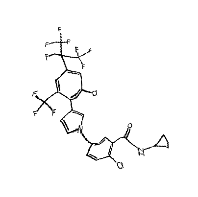 O=C(NC1CC1)c1cc(-n2ccc(-c3c(Cl)cc(C(F)(C(F)(F)F)C(F)(F)F)cc3C(F)(F)F)c2)ccc1Cl